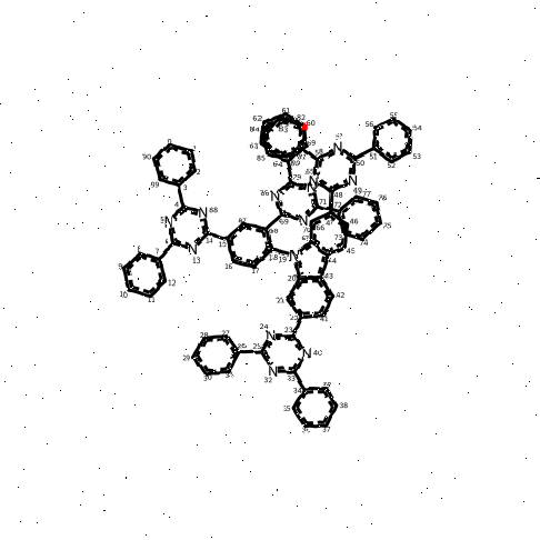 c1ccc(-c2nc(-c3ccccc3)nc(-c3ccc(-n4c5cc(-c6nc(-c7ccccc7)nc(-c7ccccc7)n6)ccc5c5ccc(-c6nc(-c7ccccc7)nc(-c7ccccc7)n6)cc54)c(-c4nc(-c5ccccc5)nc(-c5ccccc5)n4)c3)n2)cc1